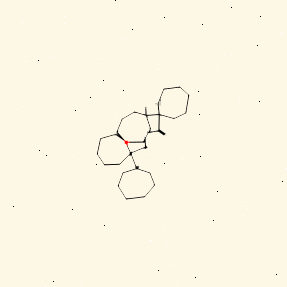 O=C(O)C1(C2(C(=O)OC(=O)C3(C4(C(=O)O)CCCCCC4)CCCCCC3)CCCCCC2)CCCCCC1